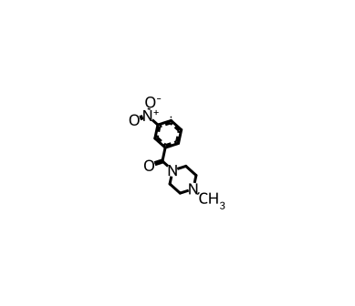 CN1CCN(C(=O)c2cc[c]c([N+](=O)[O-])c2)CC1